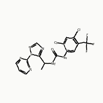 CC(NC(=O)Nc1cc(C(F)(F)F)c(Cl)cc1Cl)c1ncnn1-c1ncccn1